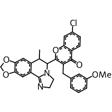 COc1cccc(Cc2c(C3C(C)c4cc5c(cc4C4=NCCN43)OCO5)oc3cc(Cl)ccc3c2=O)c1